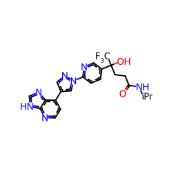 CC(C)NC(=O)CCC(O)(c1ccc(-n2cc(-c3ccnc4[nH]cnc34)cn2)nc1)C(F)(F)F